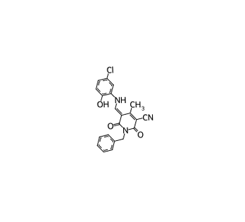 CC1=C(C#N)C(=O)N(Cc2ccccc2)C(=O)/C1=C/Nc1cc(Cl)ccc1O